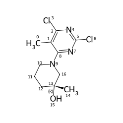 Cc1c(Cl)nc(Cl)nc1N1CCC[C@@](C)(O)C1